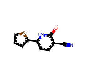 N#Cc1ccc(-c2cccs2)[nH]c1=O